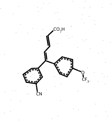 N#Cc1cccc(/C(=C/C=C/C(=O)O)c2ccc(OC(F)(F)F)cc2)c1